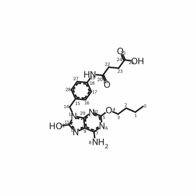 CCCCOc1nc(N)c2nc(O)n(Cc3ccc(NC(=O)CCC(=O)O)cc3)c2n1